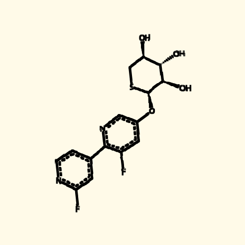 O[C@@H]1[C@@H](O)[C@@H](Oc2cnc(-c3ccnc(F)c3)c(F)c2)SC[C@H]1O